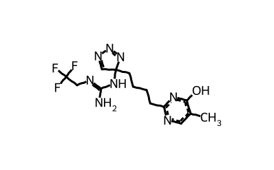 Cc1cnc(CCCCC2(NC(N)=NCC(F)(F)F)C=NN=N2)nc1O